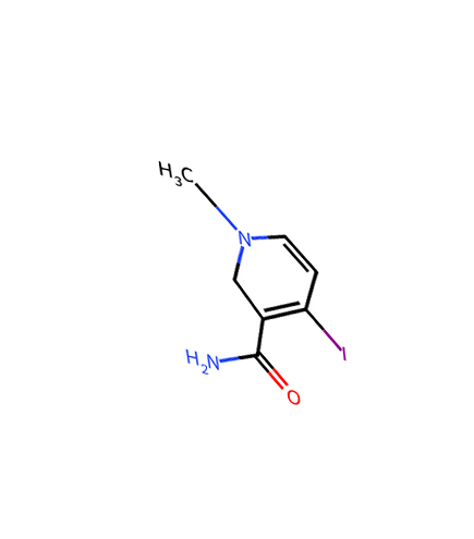 CN1C=CC(I)=C(C(N)=O)C1